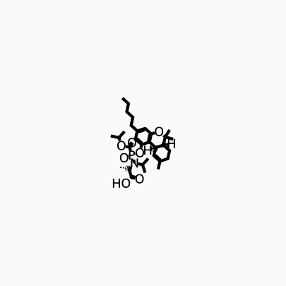 CCCCCc1cc2c(c(OP(=O)(C(=O)OC(C)C)N(C(C)C)[C@@H](C)C(=O)O)c1)[C@@H]1C=C(C)CC[C@H]1C(C)(C)O2